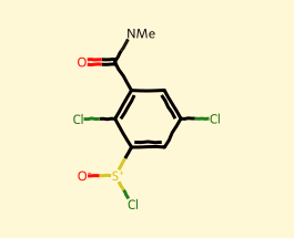 CNC(=O)c1cc(Cl)cc([S+]([O-])Cl)c1Cl